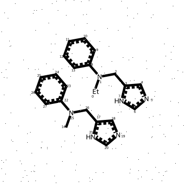 CCN(Cc1cnc[nH]1)c1ccccc1.CN(Cc1cnc[nH]1)c1ccccc1